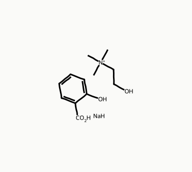 C[N+](C)(C)CCO.O=C(O)c1ccccc1O.[NaH]